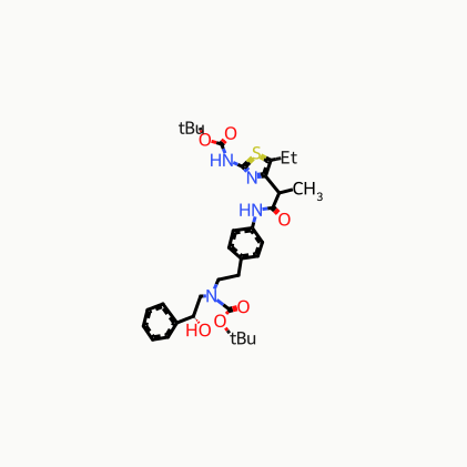 CCc1sc(NC(=O)OC(C)(C)C)nc1C(C)C(=O)Nc1ccc(CCN(C[C@H](O)c2ccccc2)C(=O)OC(C)(C)C)cc1